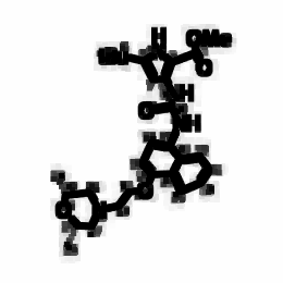 COC(=O)c1[nH]c(C(C)(C)C)cc1NC(=O)Nc1ccc(OCCN2C[C@@H](C)O[C@@H](C)C2)c2ccccc12